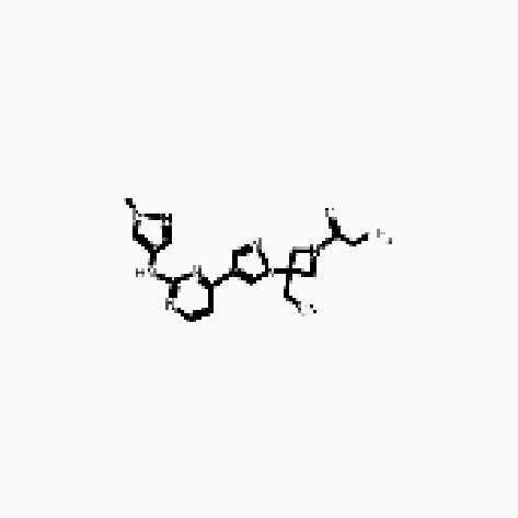 Cn1cc(Nc2nccc(-c3cnn(C4(CC#N)CN(C(=O)CC(F)(F)F)C4)c3)n2)cn1